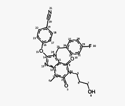 Cn1c(=O)n(CCCO)c(=O)c2c1nc(Oc1ccc(C#N)cc1)n2Cc1ccc(F)cc1